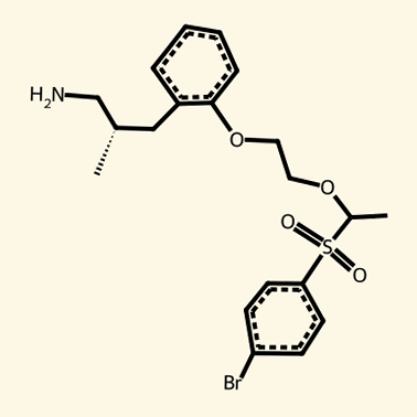 CC(OCCOc1ccccc1C[C@H](C)CN)S(=O)(=O)c1ccc(Br)cc1